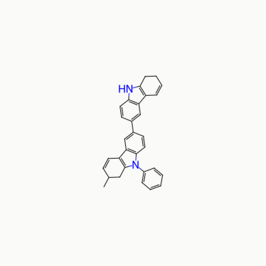 CC1C=Cc2c(n(-c3ccccc3)c3ccc(-c4ccc5[nH]c6c(c5c4)C=CCC6)cc23)C1